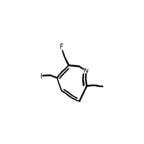 Cc1ccc(I)c(F)n1